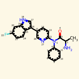 CC(N)C(=O)N(c1ccccc1)c1ccc(-c2c[nH]c3cc(F)ccc23)cn1